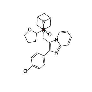 O=C(C1CCCO1)N1C2CC1CN(Cc1c(-c3ccc(Cl)cc3)nc3ccccn13)C2